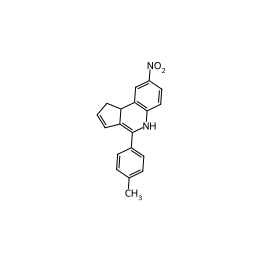 Cc1ccc(C2=C3C=CCC3c3cc([N+](=O)[O-])ccc3N2)cc1